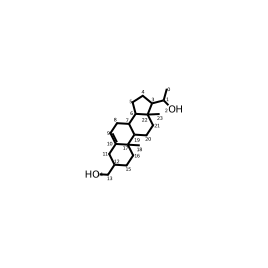 CC(O)C1CCC2C3CC=C4CC(CO)CCC4(C)C3CCC12C